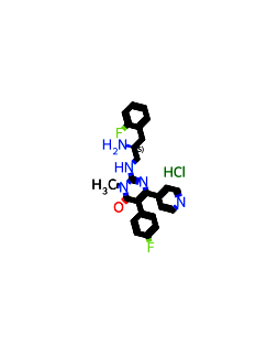 Cl.Cn1c(NC[C@@H](N)Cc2ccccc2F)nc(-c2ccncc2)c(-c2ccc(F)cc2)c1=O